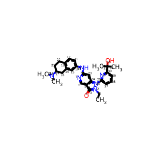 CCn1c(=O)c2cnc(Nc3ccc4c(c3)CC(N(C)C)CC4)cc2n1-c1cccc(C(C)(C)O)n1